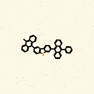 Cc1c2ccccc2c(-c2ccc3sc4cc(-c5c6ccccc6c(-c6ccccc6)c6ccccc56)ccc4c3c2)c2ccccc12